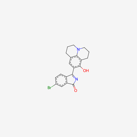 O=C1N=C(c2cc3c4c(c2O)CCCN4CCC3)c2ccc(Br)cc21